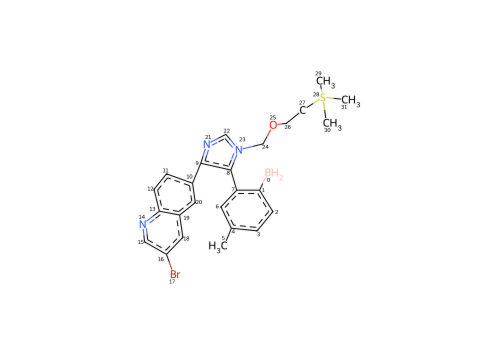 Bc1ccc(C)cc1-c1c(-c2ccc3ncc(Br)cc3c2)ncn1COCCS(C)(C)C